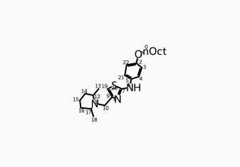 CCCCCCCCOc1ccc(Nc2nc(CN3C(C)CCCC3C)cs2)cc1